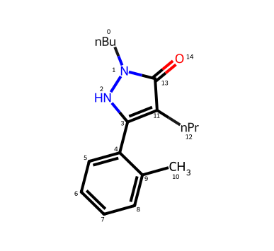 CCCCn1[nH]c(-c2ccccc2C)c(CCC)c1=O